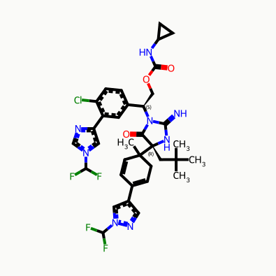 CC(C)(C)C[C@]1(C2(C)C=CC(c3cnn(C(F)F)c3)=CC2)NC(=N)N([C@H](COC(=O)NC2CC2)c2ccc(Cl)c(-c3cn(C(F)F)cn3)c2)C1=O